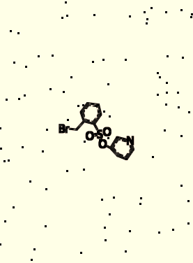 O=S(=O)(Oc1cccnc1)c1ccccc1CBr